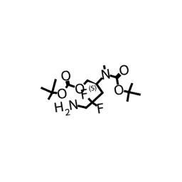 CN(C(=O)OC(C)(C)C)[C@H](COC(=O)OC(C)(C)C)CC(F)(F)CN